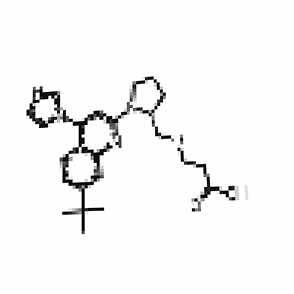 CC(C)(C)c1ccc2c(-n3ccnc3)cc(N3CCC[C@H]3COCCC(=O)O)nc2c1